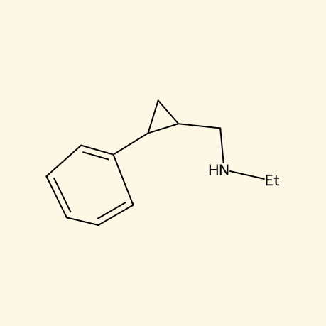 CCNCC1CC1c1ccccc1